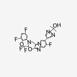 Cc1nc2cc(F)c(-c3cnc(C(C)(C)O)nc3)cn2c1CN1C(=O)C(F)(F)Oc2c(F)cc(F)cc21